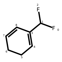 FC(F)C1=CCCC=C1